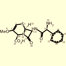 COC1=CS[C@H]2[C@H](NC(=O)[C@@H](N)c3ccccc3)C(=O)N2[C@H]1C(=O)O